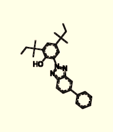 CCC(C)(C)c1cc(-n2nc3ccc(-c4ccccc4)cc3n2)c(O)c(C(C)(C)CC)c1